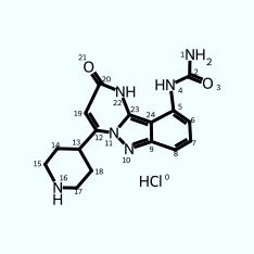 Cl.NC(=O)Nc1cccc2nn3c(C4CCNCC4)cc(=O)[nH]c3c12